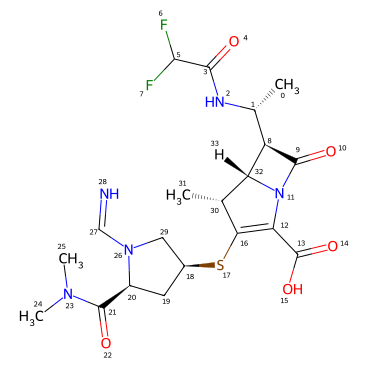 C[C@@H](NC(=O)C(F)F)[C@H]1C(=O)N2C(C(=O)O)=C(S[C@H]3C[C@@H](C(=O)N(C)C)N(C=N)C3)[C@H](C)[C@H]12